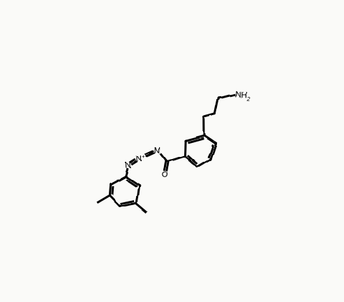 Cc1cc(C)cc(N=[N+]=NC(=O)c2cccc(CCCN)c2)c1